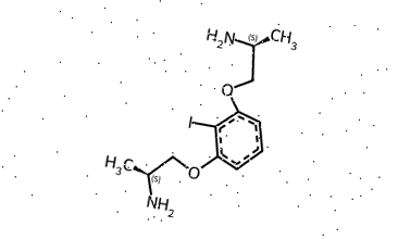 C[C@H](N)COc1cccc(OC[C@H](C)N)c1I